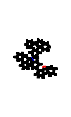 c1ccc(-c2ccc3ccccc3c2-c2ccc(N(c3ccc(-c4cccc5c4oc4ccccc45)cc3)c3cc4ccccc4c4ccccc34)cc2)cc1